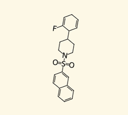 O=S(=O)(c1ccc2ccccc2c1)N1CCC(C2C=CCC=C2F)CC1